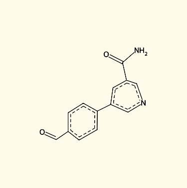 NC(=O)c1cncc(-c2ccc(C=O)cc2)c1